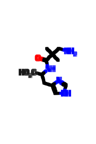 CC(C)(CN)C(=O)NC(Cc1c[nH]cn1)C(=O)O